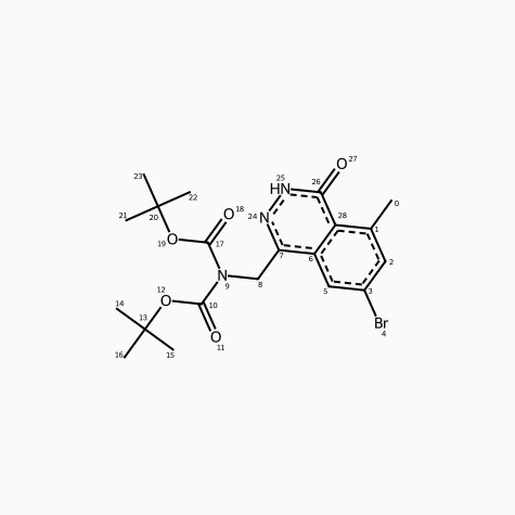 Cc1cc(Br)cc2c(CN(C(=O)OC(C)(C)C)C(=O)OC(C)(C)C)n[nH]c(=O)c12